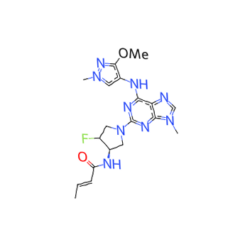 C/C=C/C(=O)N[C@@H]1CN(c2nc(Nc3cn(C)nc3OC)c3ncn(C)c3n2)CC1F